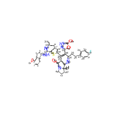 COc1cccc2c1CC[C@H]2Nc1nc(C)cc2cc(-c3c4c(nc(CCc5ccc(F)cc5)c3-c3n[nH]c(=O)o3)[C@@H]3CCCN3C4=O)sc12